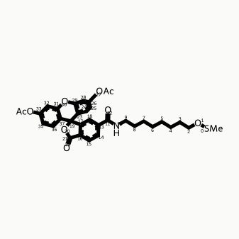 CSOCCCCCCCCNC(=O)c1ccc2c(c1)C1(OC2=O)c2ccc(OC(C)=O)cc2Oc2cc(OC(C)=O)ccc21